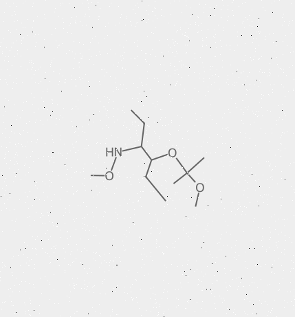 CCC(NOC)C(CC)OC(C)(C)OC